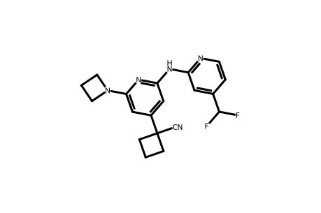 N#CC1(c2cc(Nc3cc(C(F)F)ccn3)nc(N3CCC3)c2)CCC1